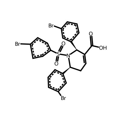 O=C(O)C1=CC[C@@H](c2cccc(Br)c2)N(S(=O)(=O)c2ccc(Br)cc2)[C@H]1c1cccc(Br)c1